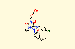 COc1cccc(OC2Nc3c(c(=O)n(CCOCCO)c(=O)n3C)N2Cc2ccc(Cl)cc2)c1